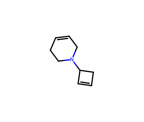 C1=CCN(C2C=CC2)CC1